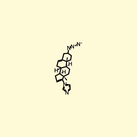 C[C@]12CCC(N=[N+]=[N-])CC1=CC[C@@H]1[C@@H]2CC[C@]2(C)C(n3ccnc3)=CC[C@@H]12